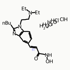 CCCCc1nc2cc(/C=C/C(=O)NO)ccc2n1CCN(CC)CC.Cl.Cl.O.O.O